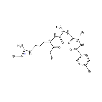 CC/N=C(\N)NCCC[C@H](NC(=O)[C@H](C)NC(=O)[C@@H](NC(=O)c1ccc(Br)cc1)C(C)C)C(=O)CF